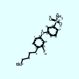 CC(C)(C)CCCCc1ccc(Oc2cccc(S(N)(=O)=O)c2)cc1F